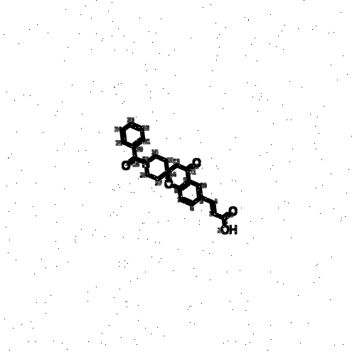 O=C(O)C=Cc1ccc2c(c1)C(=O)CC1(CCN(C(=O)c3ccccc3)CC1)O2